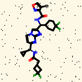 CCc1conc1C(=O)N[C@H](c1cn2ccc([C@H](NC(=O)CC3CC(F)(F)C3)C3CC3)nc2n1)C1CCC(F)(F)CC1